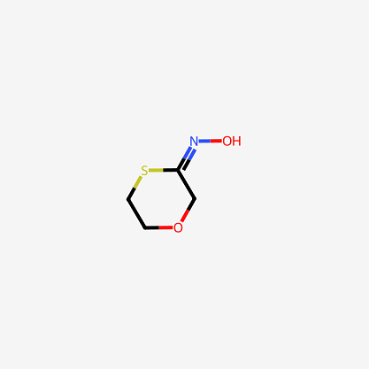 ON=C1COCCS1